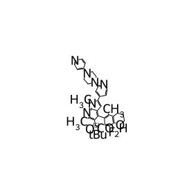 Cc1nc2c(cc(-c3ccnc(N4CCN(c5ccncc5)CC4)c3)n2C)c(-c2cc(F)c3c(c2C)CCCO3)c1[C@H](OC(C)(C)C)C(=O)O